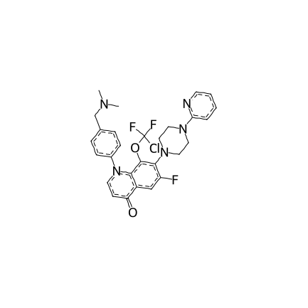 CN(C)Cc1ccc(-n2ccc(=O)c3cc(F)c(N4CCN(c5ccccn5)CC4)c(OC(F)(F)Cl)c32)cc1